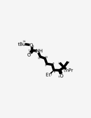 CCCC(C)(C)C(=O)[C@@H](CC)CCCCNC(=O)OC(C)(C)C